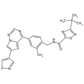 Cc1cc(-c2ncnn3cc(-c4cnsc4)cc23)ccc1CNC(=O)c1nc(C(C)(C)C)no1